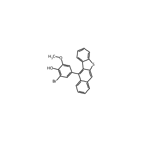 COc1cc(-c2c3ccccc3cc3sc4ccccc4c23)cc(Br)c1O